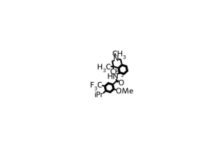 COc1cc(C(C)C)c(C(F)(F)F)cc1C(=O)Nc1cccc2c1C(C)(C)CN(C)C2